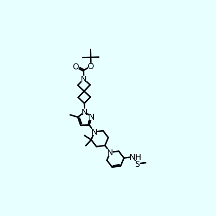 CSNC1C=CCN(C2CCN(c3cc(C)n(C4CC5(C4)CN(C(=O)OC(C)(C)C)C5)n3)C(C)(C)C2)C1